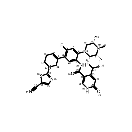 C[C@@H]1CN(c2cc(F)c(C3=CCCN(c4ncc(C#N)s4)C3)cc2NC(=O)c2c[nH]c(=O)cc2C(F)F)C[C@H](C)N1C